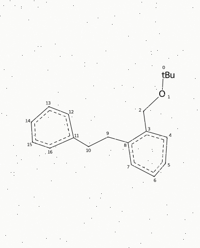 CC(C)(C)OCc1ccccc1CCc1ccccc1